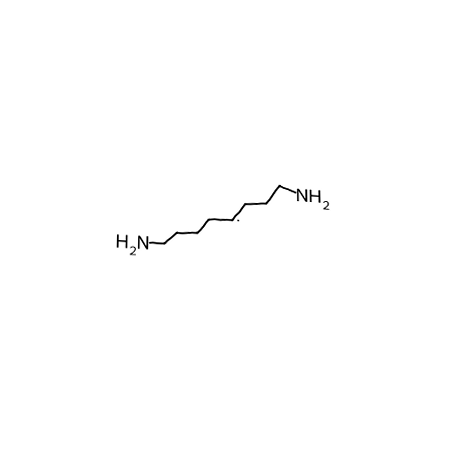 NCCC[CH]CCCCN